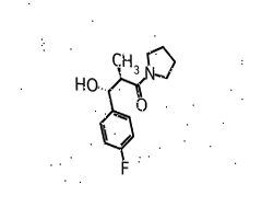 C[C@@H](C(=O)N1CCCC1)[C@@H](O)c1ccc(F)cc1